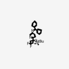 CC(C)(C)[Si](C)(C)OC1(c2ccc(N=C(c3ccccc3)c3ccccc3)cn2)CC(F)(F)C1